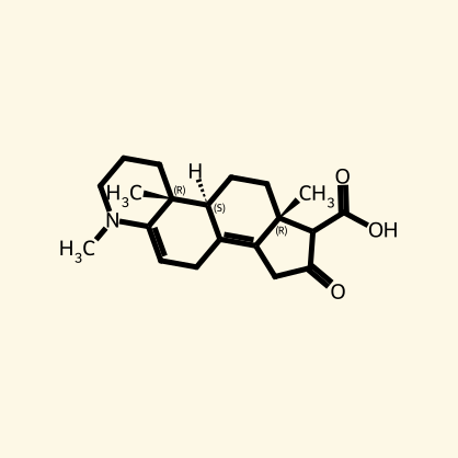 CN1CCC[C@@]2(C)C1=CCC1=C3CC(=O)C(C(=O)O)[C@@]3(C)CC[C@@H]12